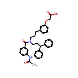 CC(=O)Nc1cccc(C(=O)N(CCCc2cccc(OCC(=O)O)c2)CCC(c2ccccc2)c2ccccc2)c1